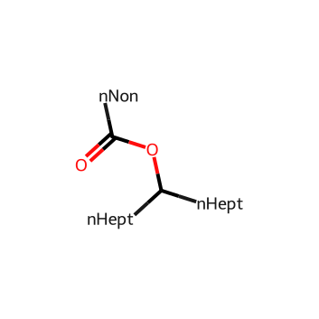 CCCCCCCCCC(=O)OC(CCCCCCC)CCCCCCC